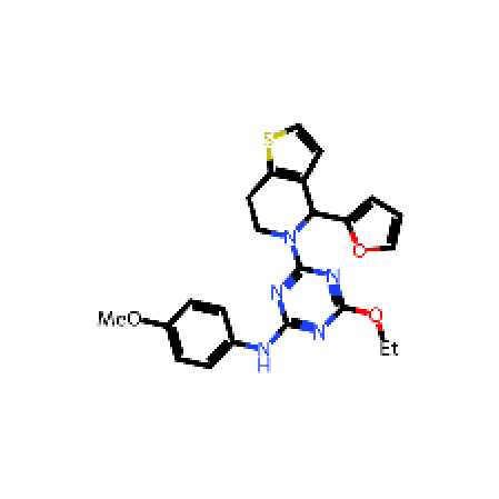 CCOc1nc(Nc2ccc(OC)cc2)nc(N2CCc3sccc3C2c2ccco2)n1